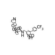 CC(C)n1cc(CNC(=O)C2CCCN2S(=O)(=O)c2cc3cnccc3o2)cc(-c2ccc(C(F)(F)F)cc2)c1=O